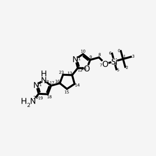 CC(C)(C)[Si](C)(C)OCc1cnc(C2CCC(c3cc(N)n[nH]3)C2)o1